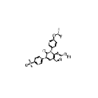 CCOc1ncc2cc(-c3ccc(P(C)(C)=O)cc3)c(=O)n(-c3ccc(OC(F)F)cc3)c2n1